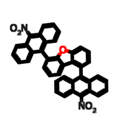 O=[N+]([O-])c1c2ccccc2c(-c2cccc3c2oc2cccc(-c4c5ccccc5c([N+](=O)[O-])c5ccccc45)c23)c2ccccc12